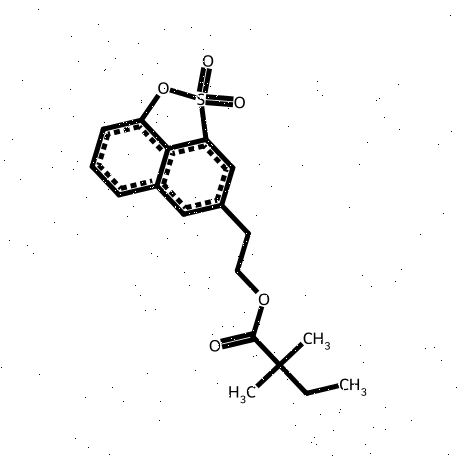 CCC(C)(C)C(=O)OCCc1cc2c3c(cccc3c1)OS2(=O)=O